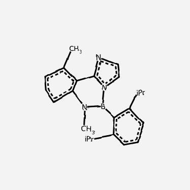 Cc1cccc2c1-c1nccn1B(c1c(C(C)C)cccc1C(C)C)N2C